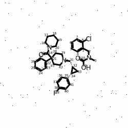 CN(Cc1ccccc1Cl)C(=O)O.O=C(N1CCCCC1)C1(c2ccccc2)CCN(C[C@@H]2C[C@@H]2c2ccc(F)cc2)CC1